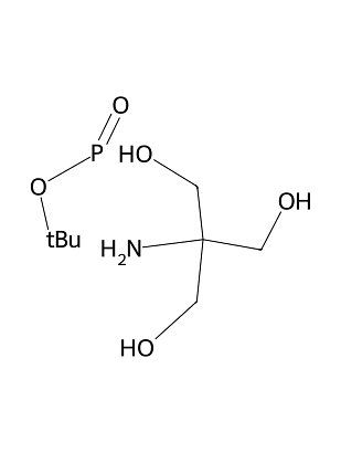 CC(C)(C)OP=O.NC(CO)(CO)CO